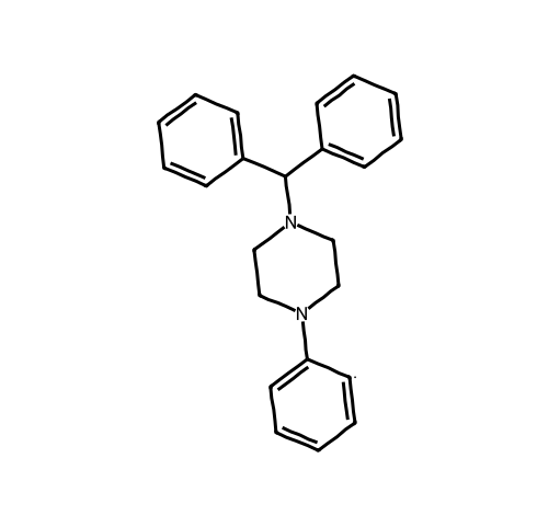 [c]1ccccc1N1CCN(C(c2ccccc2)c2ccccc2)CC1